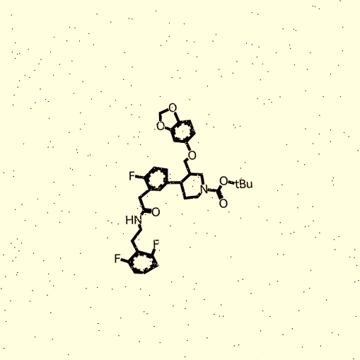 CC(C)(C)OC(=O)N1CCC(c2ccc(F)c(CC(=O)NCCc3c(F)cccc3F)c2)C(COc2ccc3c(c2)OCO3)C1